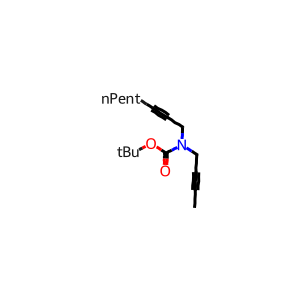 CC#CCN(CC#CCCCCC)C(=O)OC(C)(C)C